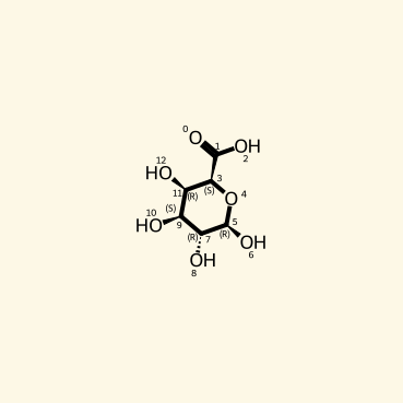 O=C(O)[C@H]1O[C@@H](O)[C@H](O)[C@@H](O)[C@H]1O